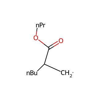 [CH2]C(CCCC)C(=O)OCCC